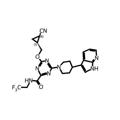 N#C[C@@H]1C[C@@H]1COc1nc(C(=O)NCC(F)(F)F)nc(N2CCC(c3c[nH]c4ncccc34)CC2)n1